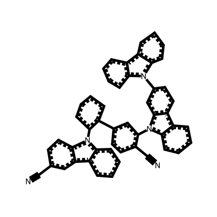 N#Cc1ccc2c(c1)c1ccccc1n2-c1ccccc1-c1ccc(C#N)c(-n2c3ccccc3c3ccc(-n4c5ccccc5c5ccccc54)cc32)c1